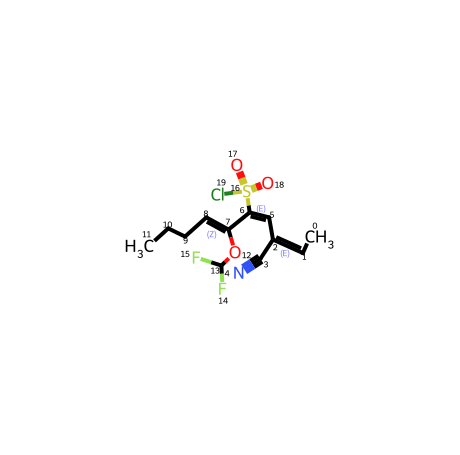 C\C=C(C#N)/C=C(\C(=C\CCC)OC(F)F)S(=O)(=O)Cl